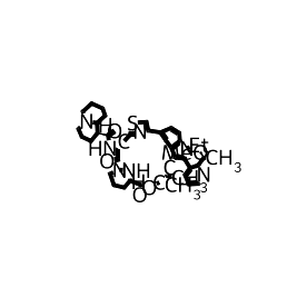 CCn1c(-c2cccnc2[C@H](C)OC)c2c3cc(ccc31)-c1csc(n1)C[C@H](NC(=O)[C@H]1CCCN3CCCC[C@@H]13)C(=O)N1CCC[C@H](N1)C(=O)OCC(C)(C)C2